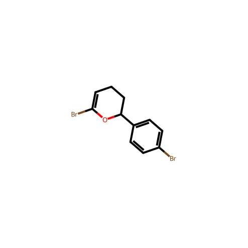 BrC1=CCCC(c2ccc(Br)cc2)O1